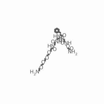 NCCOCCOCCOCCOCCC(=O)NCC(=O)NCC(=O)N[C@@H](Cc1ccccc1)C(=O)NCC(=O)NCOCC(N)=O